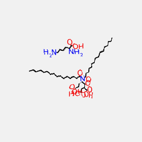 CCCCCCCCCCCCCCCC(=O)N(C(=O)CCCCCCCCCCCCCCC)[C@@H](CCC(=O)O)C(=O)C(CC(=O)O)C(=O)O.NCCCC[C@H](N)C(=O)O